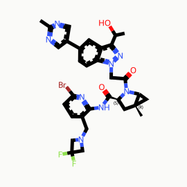 Cc1ncc(-c2ccc3c(c2)c(C(C)O)nn3CC(=O)N2C3C[C@]3(C)C[C@H]2C(=O)Nc2nc(Br)ccc2CN2CC(F)(F)C2)cn1